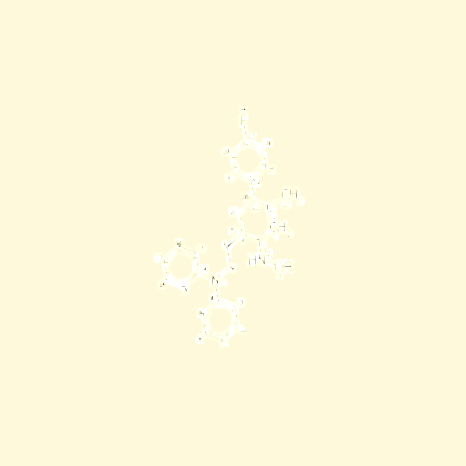 C=C(NO)[C@@H](CCN(c1ccccc1)c1ccccc1)C[C@@H](OC)c1ccc(F)cc1